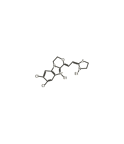 CCN1CCSC1=CC=C1OCCn2c1[n+](CC)c1cc(Cl)c(Cl)cc12